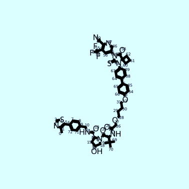 Cc1ncsc1-c1ccc(CNC(=O)[C@@H]2C[C@@H](O)CN2C(=O)C(NC(=O)COCCCCOc2ccc(-c3ccc(N4C(=S)N(c5cnc(C#N)c(C(F)(F)F)c5)C(=O)C45CCC5)cc3)cc2)C(C)(C)C)cc1